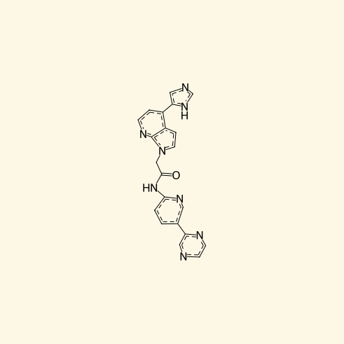 O=C(Cn1ccc2c(-c3cnc[nH]3)ccnc21)Nc1ccc(-c2cnccn2)cn1